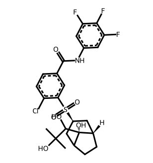 CC(C)(O)C(O)[C@]1(O)C2CC[C@H]1C[C@H](S(=O)(=O)c1cc(C(=O)Nc3cc(F)c(F)c(F)c3)ccc1Cl)C2